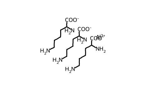 NCCCCC(N)C(=O)[O-].NCCCCC(N)C(=O)[O-].NCCCCC(N)C(=O)[O-].[Al+3]